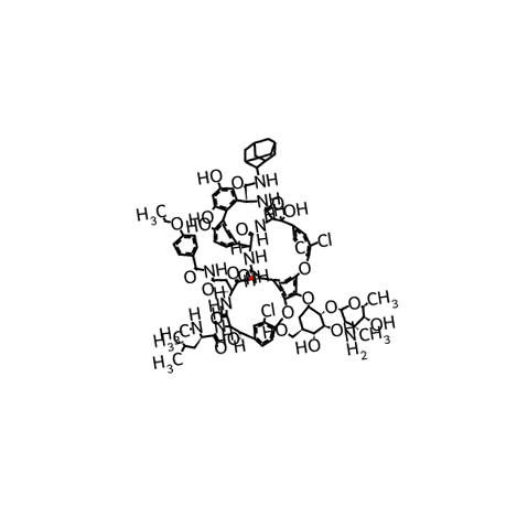 CCOc1ccc(C(=O)NC(=O)C[C@@H]2NC(=O)[C@H](NC(=O)[C@@H](CC(C)C)NC)[C@H](O)c3ccc(c(Cl)c3)Oc3cc4cc(c3O[C@@H]3C[C@H](CO)[C@@H](O)[C@H](O)[C@H]3O[C@H]3C[C@](C)(N)[C@H](O)[C@H](C)O3)Oc3ccc(cc3Cl)[C@@H](O)[C@@H]3NC(=O)[C@H](NC(=O)[C@@H]4NC2=O)c2ccc(O)c(c2)-c2c(O)cc(O)cc2[C@@H](C(=O)NC2C4CC5CC(C4)CC2C5)NC3=O)cc1